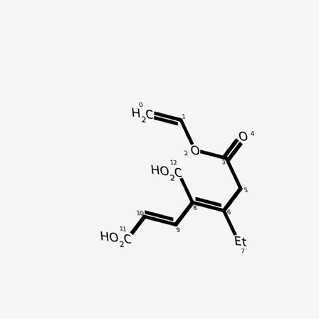 C=COC(=O)CC(CC)=C(C=CC(=O)O)C(=O)O